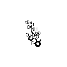 Cc1cccc(F)c1C(OS(C)(=O)=O)[C@@H]1CCC(=O)N1CCNC(=O)OC(C)(C)C